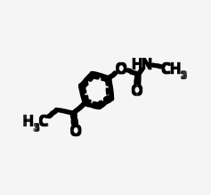 CCC(=O)c1ccc(OC(=O)NC)cc1